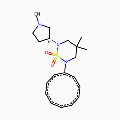 CC1(C)CN(c2ccccccccc2)S(=O)(=O)N([C@@H]2CCN(C#N)C2)C1